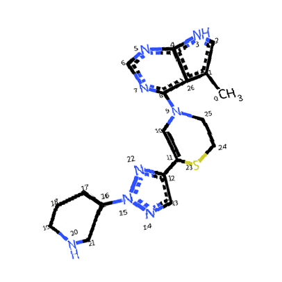 Cc1c[nH]c2ncnc(N3C=C(c4cnn(C5CCCNC5)n4)SCC3)c12